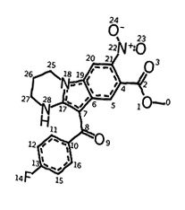 COC(=O)c1cc2c(C(=O)c3ccc(F)cc3)c3n(c2cc1[N+](=O)[O-])CCCN3